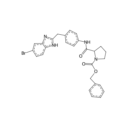 O=C(Nc1ccc(Cc2nc3cc(Br)ccc3[nH]2)cc1)C1CCCN1C(=O)OCc1ccccc1